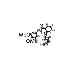 COc1cc(CN2CN(c3cnn(O)c3)c3ccccc3C2=O)cc(OC)c1